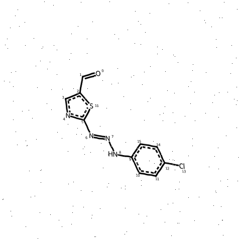 O=Cc1cnc(N=NNc2ccc(Cl)cc2)s1